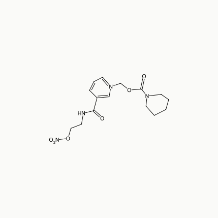 O=C(NCCO[N+](=O)[O-])c1ccc[n+](COC(=O)N2CCCCC2)c1